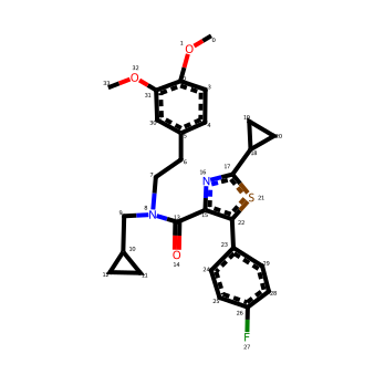 COc1ccc(CCN(CC2CC2)C(=O)c2nc(C3CC3)sc2-c2ccc(F)cc2)cc1OC